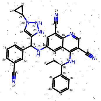 CC[C@@H](Nc1c(C#N)cnc2c(C#N)cc(NC(C3=CN(C4CC4)NN3)c3cccc(C#N)c3)cc12)c1ccccc1